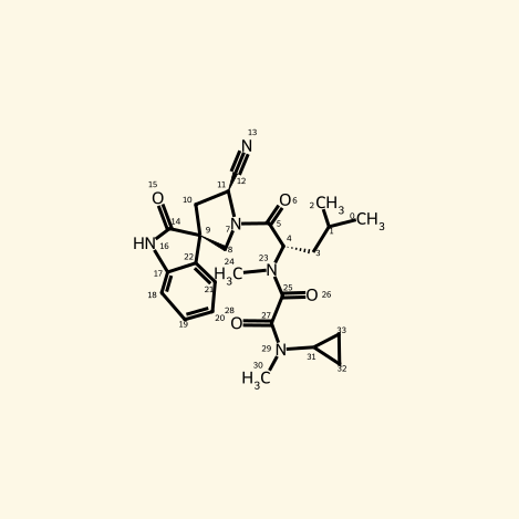 CC(C)C[C@@H](C(=O)N1C[C@]2(C[C@H]1C#N)C(=O)Nc1ccccc12)N(C)C(=O)C(=O)N(C)C1CC1